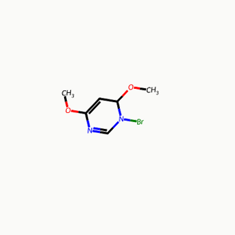 COC1=CC(OC)N(Br)C=N1